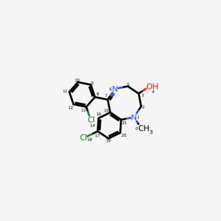 CN1CC(O)CN=C(c2ccccc2Cl)c2cc(Cl)ccc21